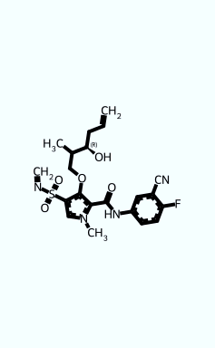 C=CC[C@@H](O)C(C)COc1c(S(=O)(=O)N=C)cn(C)c1C(=O)Nc1ccc(F)c(C#N)c1